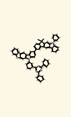 CC1(C)c2ccc(-c3ccc4c(c3)c3cc5c(cc3n4-c3cccc(-c4nc(-c6ccccc6)nc(-c6ccccc6)n4)c3)oc3ccccc35)cc2-c2cc3c4ccccc4n(-c4ccccc4)c3cc21